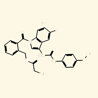 Cl.NCC(=O)OCc1ccccc1C(=O)n1cc(NC(=O)Nc2ccc(SC(F)(F)F)cc2)c2cc(Cl)ccc21